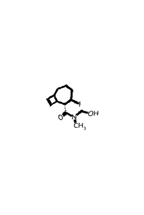 CN(CO)C(=O)[C@H]1C(I)CCCC2C=CC21